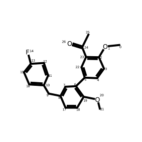 COc1ccc(-c2cc(Cc3ccc(F)cc3)ccc2OC)cc1C(C)=O